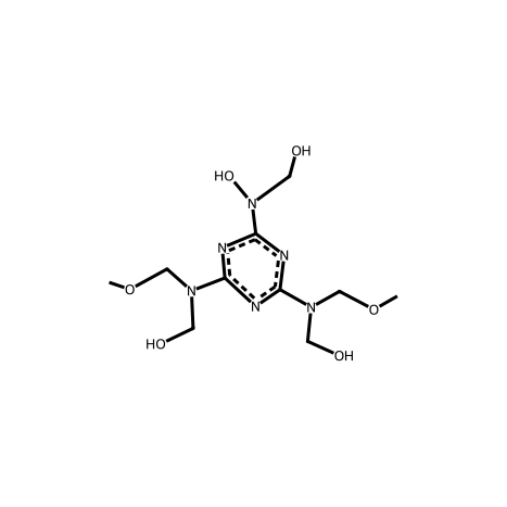 COCN(CO)c1nc(N(O)CO)nc(N(CO)COC)n1